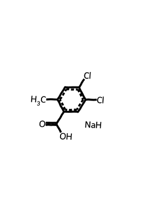 Cc1cc(Cl)c(Cl)cc1C(=O)O.[NaH]